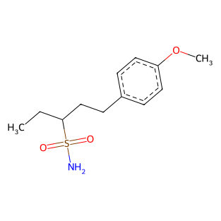 CCC(CCc1ccc(OC)cc1)S(N)(=O)=O